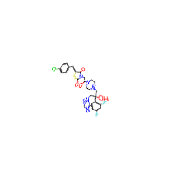 O=C(CN1C(=O)SC(=Cc2ccc(Cl)cc2)C1=O)N1CCN(CC(O)(Cn2cncn2)c2ccc(F)cc2F)CC1